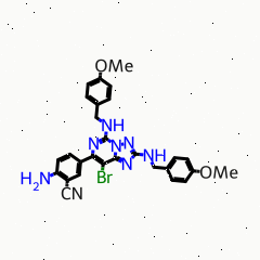 COc1ccc(CNc2nc3c(Br)c(-c4ccc(N)c(C#N)c4)nc(NCc4ccc(OC)cc4)n3n2)cc1